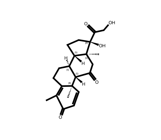 CC1=C2CC[C@@H]3[C@H](C(=O)C[C@@]4(C)[C@H]3CC[C@]4(O)C(=O)CO)[C@@]2(C)C=CC1=O